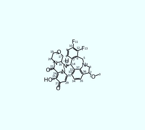 COC1CN2Cc3c(ccc(F)c3F)[C@H](N3[C@@H]4COCCN4C(=O)c4c(O)c(=O)ccn43)c3cccc1c32